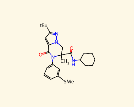 CSc1cccc(N2C(=O)c3cc(C(C)(C)C)nn3CC2(C)C(=O)NC2CCCCC2)c1